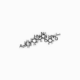 C=CC(=O)Nc1cccc(Oc2ncnc3[nH]c(-c4ccc(N5CCN(C(C)=O)CC5)cc4)cc23)c1